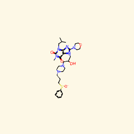 CC(C)Cn1c(=O)n(C)c(=O)c2c1nc(N1CCOCC1)n2CC(O)CN1CCN(CCC[S+]([O-])c2ccccc2)CC1